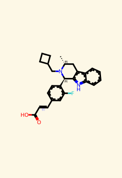 C[C@@H]1Cc2c([nH]c3ccccc23)[C@@H](c2ccc(/C=C/C(=O)O)cc2F)N1CC1CCC1